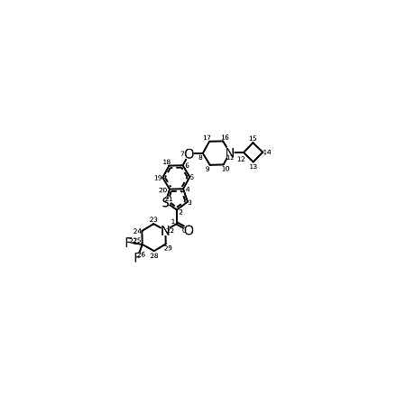 O=C(c1cc2cc(OC3CCN(C4CCC4)CC3)ccc2s1)N1CCC(F)(F)CC1